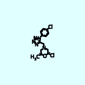 C[C@H]1CN(Cc2nnnn2-c2ccc(Cl)cc2)C[C@@H](Cl)O1